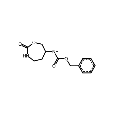 O=C1NCCC(NC(=O)OCc2ccccc2)CO1